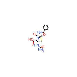 NC(=O)NC1=C(C(=O)O)N2C(=O)C(NC(=O)c3ccccc3)[C@@H]2SC1